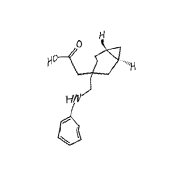 O=C(O)CC1(CNc2ccccc2)C[C@@H]2C[C@H]2C1